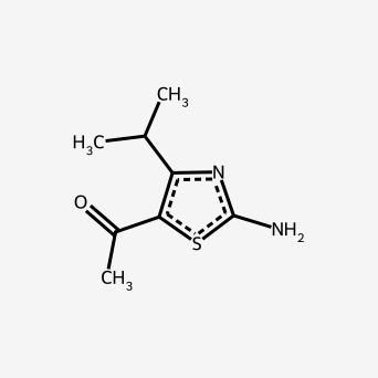 CC(=O)c1sc(N)nc1C(C)C